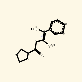 O=C(O)/C(CC(=O)C1CCCC1)=C(/C(=O)O)c1ccccc1